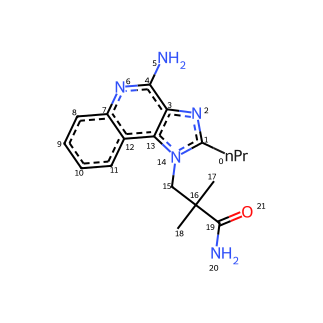 CCCc1nc2c(N)nc3ccccc3c2n1CC(C)(C)C(N)=O